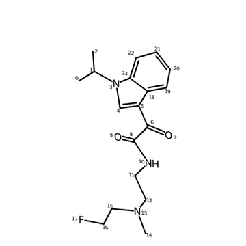 CC(C)n1cc(C(=O)C(=O)NCCN(C)CCF)c2ccccc21